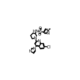 Cn1cc(S(=O)(=O)NC2CCCN(c3cc(-n4ccnc4)c4ccc(Cl)cc4n3)C2)cn1